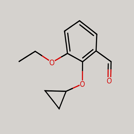 CCOc1cccc(C=O)c1OC1CC1